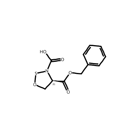 O=C(OCc1ccccc1)[C@H]1COSN1C(=O)O